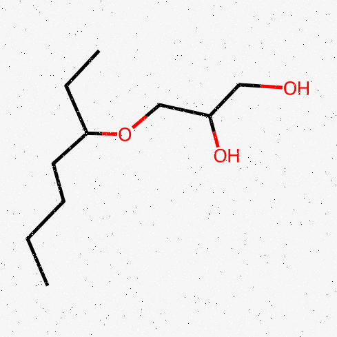 CCCCC(CC)OCC(O)CO